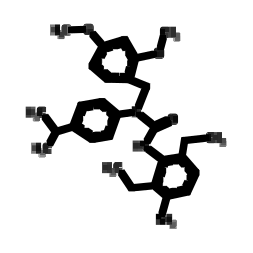 CCc1ccc(N)c(CC)c1NC(=O)N(Cc1ccc(OC)cc1OC)c1ccc(C(C)C)cc1